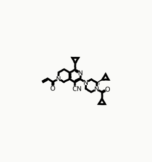 C=CC(=O)N1CCc2c(C3CC3)nc(N3CCN(C(=O)C4CC4)[C@H](C4CC4)C3)c(C#N)c2C1